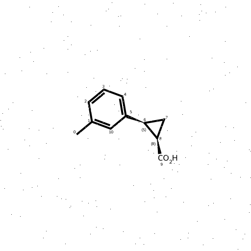 Cc1cccc([C@H]2C[C@H]2C(=O)O)c1